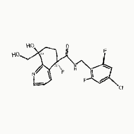 O=C(NCc1c(F)cc(Cl)cc1F)[C@]1(F)CC[C@@](O)(CO)c2ncccc21